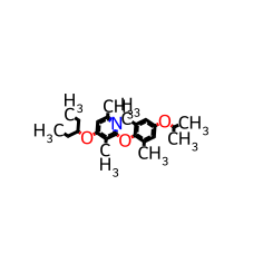 CCC(CC)Oc1cc(C)nc(Oc2c(C)cc(OC(C)C)cc2C)c1C